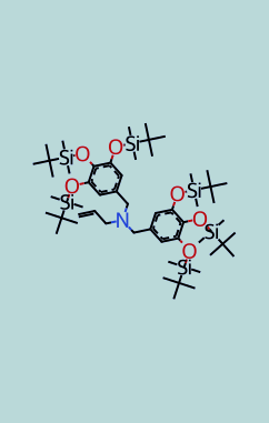 C=CCN(Cc1cc(O[Si](C)(C)C(C)(C)C)c(O[Si](C)(C)C(C)(C)C)c(O[Si](C)(C)C(C)(C)C)c1)Cc1cc(O[Si](C)(C)C(C)(C)C)c(O[Si](C)(C)C(C)(C)C)c(O[Si](C)(C)C(C)(C)C)c1